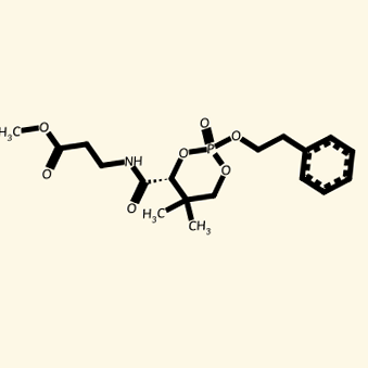 COC(=O)CCNC(=O)[C@@H]1OP(=O)(OCCc2ccccc2)OCC1(C)C